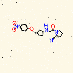 N#C[C@@H]1CCCN1C(=O)CN[C@@H]1CC[C@H](COc2ccc([N+](=O)[O-])cc2)C1